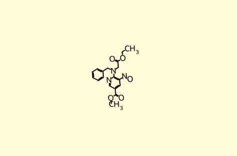 CCOC(=O)CN(Cc1ccccc1)c1ncc(C(=O)OC)cc1N=O